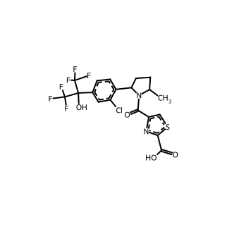 CC1CCC(c2ccc(C(O)(C(F)(F)F)C(F)(F)F)cc2Cl)N1C(=O)c1csc(C(=O)O)n1